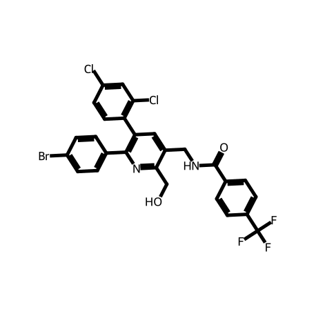 O=C(NCc1cc(-c2ccc(Cl)cc2Cl)c(-c2ccc(Br)cc2)nc1CO)c1ccc(C(F)(F)F)cc1